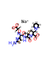 CC(C)(O/N=C(\C(=O)N[C@@H]1C(=O)N2C(C(=O)[O-])=C(C[n+]3ccccc3)CS[C@H]12)c1csc(N)n1)C(=O)[O-].[Na+]